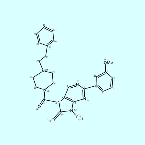 COc1cccc(-c2ncc3c(n2)n(C)c(=O)n3C(=O)N2CCN(CCc3ccccc3)CC2)c1